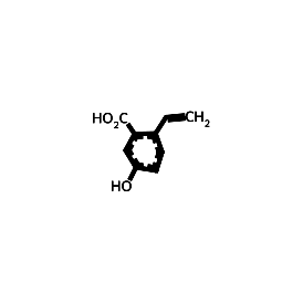 C=Cc1ccc(O)cc1C(=O)O